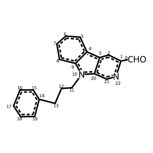 O=Cc1cc2c3ccccc3n(CCCc3ccccc3)c2cn1